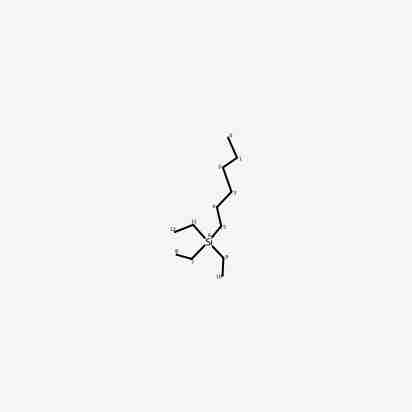 CCCCC[CH][Si](CC)(CC)CC